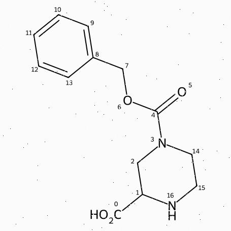 O=C(O)C1CN(C(=O)OCc2ccccc2)CCN1